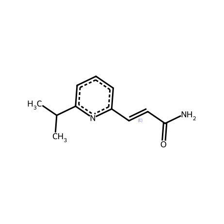 CC(C)c1cccc(/C=C/C(N)=O)n1